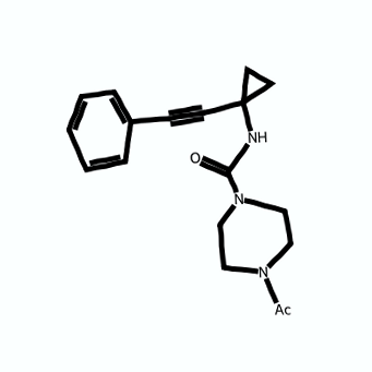 CC(=O)N1CCN(C(=O)NC2(C#Cc3ccccc3)CC2)CC1